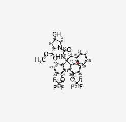 COC(=O)[C@@H]1C[C@@H](C)CN1C(=O)NC(Cc1ccccc1)(c1cccc(OC(F)(F)F)c1)c1cccc(OC(F)(F)F)c1